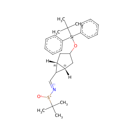 CC(C)(C)[S+]([O-])/N=C/C1[C@H]2CC(O[Si](c3ccccc3)(c3ccccc3)C(C)(C)C)C[C@@H]12